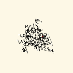 CCC(C)C(NC(=O)C(CCCCN)NC(=O)CN)C(=O)NC(C)C(=O)NC(CCCCN)C(=O)NC(C(=O)NC(C)C(=O)NC(CC(C)C)C(=O)NC(CCCCN)C(=O)NC(C)C(=O)NC(CC(C)C)C(N)=O)C(C)C